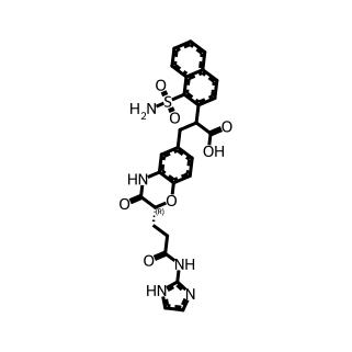 NS(=O)(=O)c1c(C(Cc2ccc3c(c2)NC(=O)[C@@H](CCC(=O)Nc2ncc[nH]2)O3)C(=O)O)ccc2ccccc12